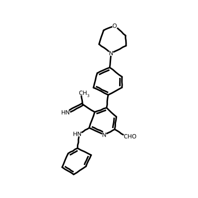 CC(=N)c1c(-c2ccc(N3CCOCC3)cc2)cc(C=O)nc1Nc1ccccc1